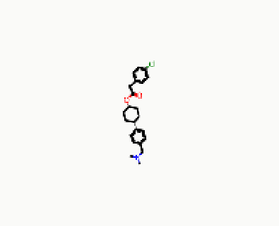 CN(C)Cc1ccc([C@H]2CC[C@@H](OC(=O)Cc3ccc(Cl)cc3)CC2)cc1